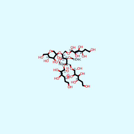 CCCCCCCCCCO[C@H]([C@@H](OCCCCCCCCCC)[C@H](CO[C@H](O)/C(O)=C(\O)[C@H](O)CCO)O[C@]1(O)COC(CO)[C@@H](O)C1O)[C@H](CO[C@H](O)C(O)C(O)[C@H](O)CCO)O[C@H](O)/C(O)=C(/O)[C@H](O)CCO